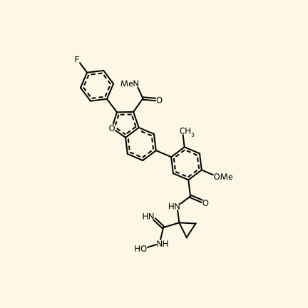 CNC(=O)c1c(-c2ccc(F)cc2)oc2ccc(-c3cc(C(=O)NC4(C(=N)NO)CC4)c(OC)cc3C)cc12